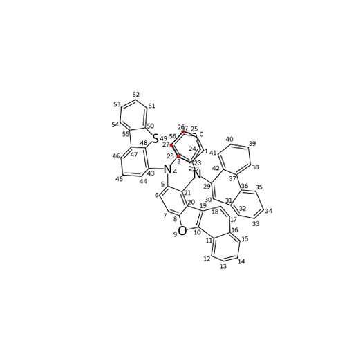 c1ccc(N(c2ccc3oc4c5ccccc5ccc4c3c2N(c2ccccc2)c2cc3ccccc3c3ccccc23)c2cccc3c2sc2ccccc23)cc1